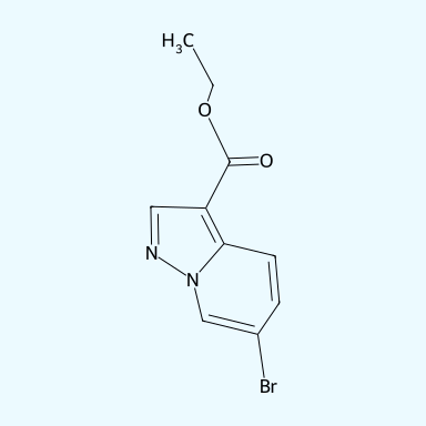 CCOC(=O)c1cnn2cc(Br)ccc12